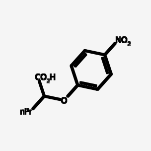 CCCC(Oc1ccc([N+](=O)[O-])cc1)C(=O)O